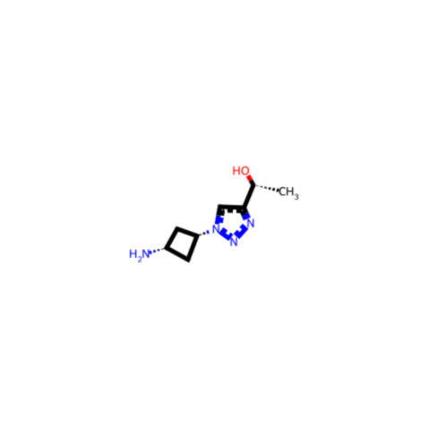 C[C@@H](O)c1cn([C@H]2C[C@@H](N)C2)nn1